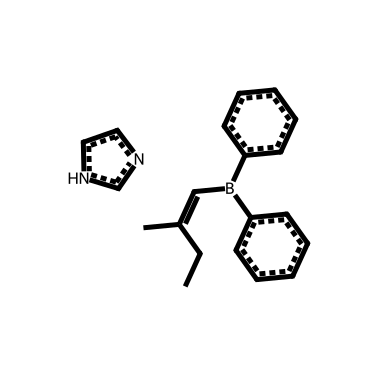 CCC(C)=CB(c1ccccc1)c1ccccc1.c1c[nH]cn1